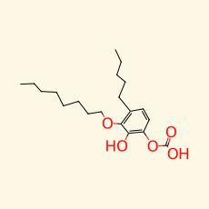 CCCCCCCCOc1c(CCCCC)ccc(OC(=O)O)c1O